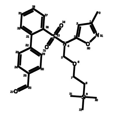 Cc1cc(N(COCC[Si](C)(C)C)S(=O)(=O)c2ccccc2-c2ccc(C=O)cc2)on1